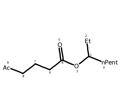 CCCCCC(CC)OC(=O)CCCC(C)=O